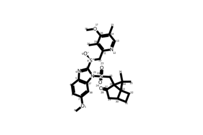 COc1ccc2nc([S@@+]([O-])Cc3ncc(C)c(OC)c3C)n(S(=O)(=O)CC34C(=O)CC5CCC53C4(C)C)c2c1